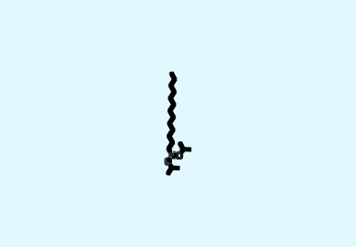 CCCCCCCCCCCCCN(OC(C)C)OC(C)C